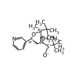 CC(C)(C)[S+]([O-])NC[C@H](O[Si](C)(C)C(C)(C)C)c1cccnc1